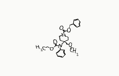 CCOC(=O)N(c1ccccc1)C1(COC)CCN(C(=O)OCc2ccccc2)CC1